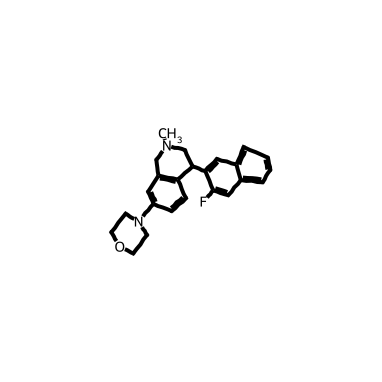 CN1Cc2cc(N3CCOCC3)ccc2C(c2cc3ccccc3cc2F)C1